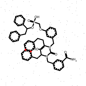 NC(=O)c1cccc(CN2C(=O)N(Cc3cccc(OCP(=O)(O)OC(Cc4ccccc4)c4ccccc4)c3)C(CCc3ccccc3)=C(O)C2Cc2ccccc2)c1